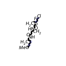 C=C/C(=C\C(F)=C\Cl)OCC(=O)NC(=C)CCC(=O)NCC(=C)/C=C\C=C\OC